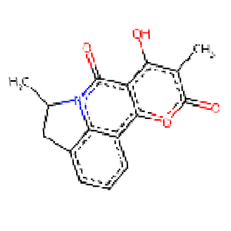 Cc1c(O)c2c(=O)n3c4c(cccc4c2oc1=O)CC3C